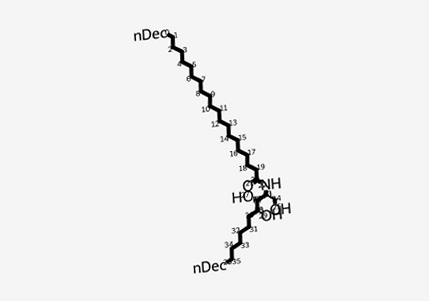 CCCCCCCCCCCCCCCCCCCCCCCCCCCCCC(=O)N[C@@H](CO)[C@H](O)[C@H](O)CCCCCCCCCCCCCCCC